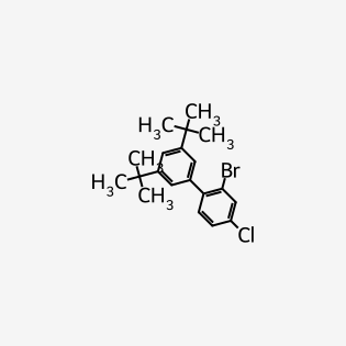 CC(C)(C)c1cc(-c2ccc(Cl)cc2Br)cc(C(C)(C)C)c1